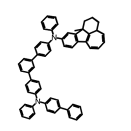 CC12CCCC3C=CC=CC(=C31)c1ccc(N(c3ccccc3)c3ccc(-c4cccc(-c5ccc(N(c6ccccc6)c6ccc(-c7ccccc7)cc6)cc5)c4)cc3)cc12